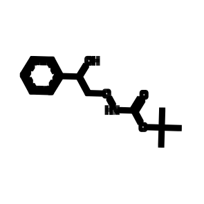 CC(C)(C)OC(=O)NOCC(O)c1ccccc1